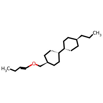 CCC=COC[C@H]1CC[C@H]([C@H]2CC[C@H](CCC)CC2)CC1